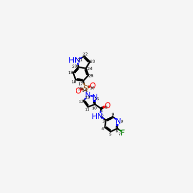 O=C(Nc1ccc(F)nc1)c1ccn(S(=O)(=O)c2ccc3[nH]ccc3c2)n1